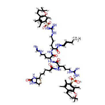 Cc1c(C)c(S(=O)(=O)NC(=N)NCCCC(NC(=O)CCCCC2SCC3NC(=O)NC32)C(=O)NC(CCCNC=N)C(=O)NC(CCCNC(=N)NS(=O)(=O)c2c(C)c(C)c3c(c2C)OC(C)(C)CC3)C(=O)NCCCC(=O)O)c(C)c2c1CCC(C)(C)O2